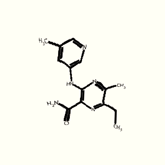 CCc1nc(C(N)=O)c(Nc2cncc(C)c2)nc1C